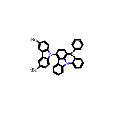 CC(C)(C)c1ccc2c(c1)c1cc(C(C)(C)C)ccc1n2-c1ccc2c3c1c1ccccc1n3-c1ccccc1B2c1ccccc1